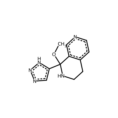 COC1(c2cnn[nH]2)NCCc2ccncc21